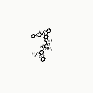 Cc1cc(-n2ncc(C(=O)c3cc4cc(OC5CCN(C6CCCC6)CC5)c(-c5ccccc5C)cc4[nH]3)c2N)ccc1Oc1ccccc1F